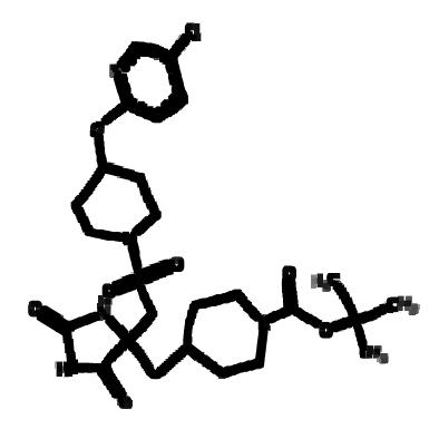 CC(C)(C)OC(=O)N1CCC(CC2(CS(=O)(=O)N3CCC(Oc4ccc(Cl)cn4)CC3)NC(=O)NC2=O)CC1